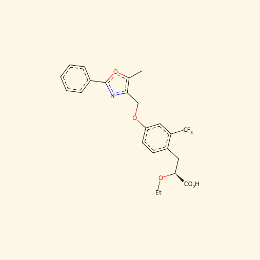 CCO[C@@H](Cc1ccc(OCc2nc(-c3ccccc3)oc2C)cc1C(F)(F)F)C(=O)O